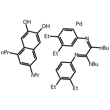 CCCCC(=Nc1ccc(CC)c(CC)c1)C(CCCC)=Nc1ccc(CC)c(CC)c1.CCCc1cc(CCC)c2cc(O)c(O)cc2c1.[Pd]